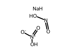 O=NO.O=[N+]([O-])O.[NaH]